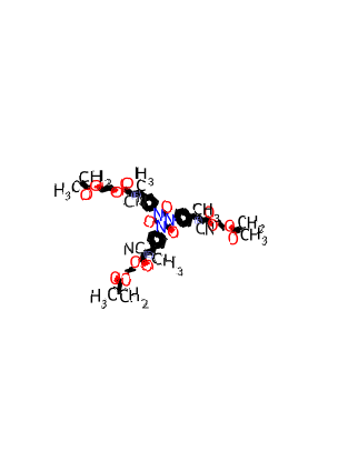 C=C(C)C(=O)OCCOC(=O)/C(C#N)=C(\C)c1ccc(-n2c(=O)n(-c3ccc(/C(C)=C(\C#N)C(=O)OCCOC(=O)C(=C)C)cc3)c(=O)n(-c3ccc(/C(C)=C(\C#N)C(=O)OCCOC(=O)C(=C)C)cc3)c2=O)cc1